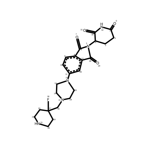 O=C1CCC(N2C(=O)c3ccc(N4CCN(CC5(F)CCNCC5)CC4)cc3C2=O)C(=O)N1